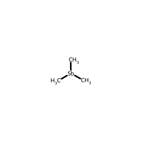 [CH3][Sb]([CH3])[CH3]